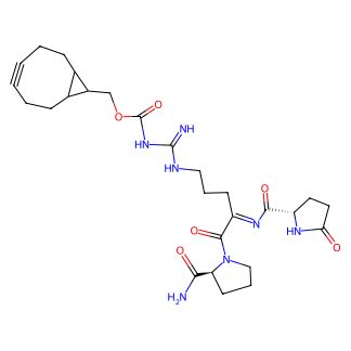 N=C(NCCC/C(=N\C(=O)[C@@H]1CCC(=O)N1)C(=O)N1CCC[C@H]1C(N)=O)NC(=O)OCC1C2CCC#CCCC21